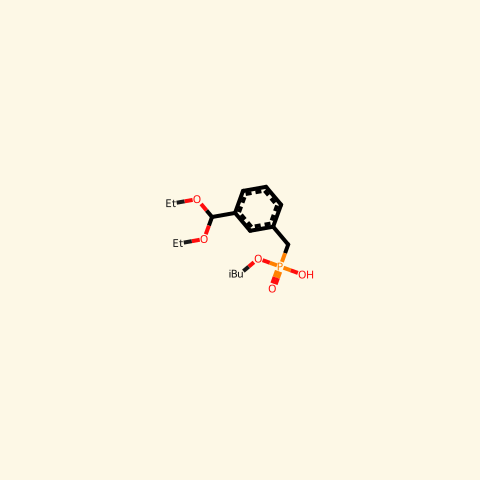 CCOC(OCC)c1cccc(CP(=O)(O)OC(C)CC)c1